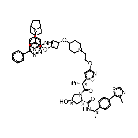 Cc1ncsc1-c1ccc([C@H](C)NC(=O)[C@@H]2C[C@@H](O)CN2C(=O)[C@@H](c2cc(OCCN3CCC(O[C@H]4C[C@H](Oc5cc(N6C7CCC6CN(c6cc(-c8ccccc8)nnc6N)C7)ccn5)C4)CC3)no2)C(C)C)cc1